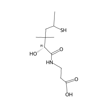 CC(S)CC(C)(C)[C@@H](O)C(=O)NCCC(=O)O